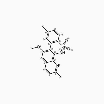 COc1cc2ccc(C)nc2c2c1-c1cc(C)ccc1S(=O)(=O)N2